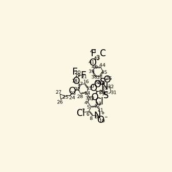 O=C(O[C@@H](Cc1c(Cl)c[n+]([O-])cc1Cl)c1ccc(OC(F)F)c(OCC2CC2)c1)[C@@H]1SCCN1S(=O)(=O)c1ccc(OCC(F)(F)F)cc1